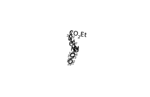 CCOC(=O)C1CN(Cc2ccc(-c3noc(-c4ccc(C5CCCCC5)cc4)n3)o2)C1